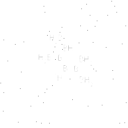 [3H]B(B(B)B)B(B)BB